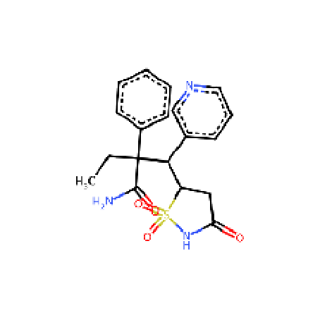 CCC(C(N)=O)(c1ccccc1)C(c1cccnc1)C1CC(=O)NS1(=O)=O